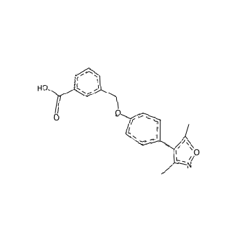 Cc1noc(C)c1-c1ccc(OCc2cccc(C(=O)O)c2)cc1